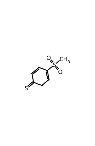 CS(=O)(=O)C1=CCC(=S)[C]=C1